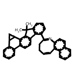 CC1(C)c2cccc(/C3=N/c4ccc5ccccc5c4/C=C\CC3)c2-c2ccc3c(c21)C1CC1c1ccccc1-3